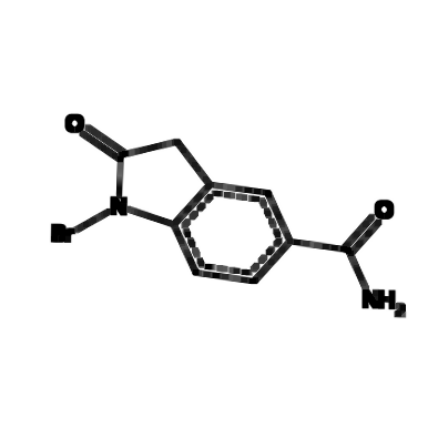 NC(=O)c1ccc2c(c1)CC(=O)N2Br